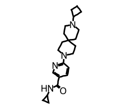 O=C(NC1CC1)c1ccc(N2CCC3(CC2)CCN(C2CCC2)CC3)nc1